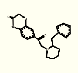 O=C1COc2cc(C(=O)CN3CCCCC3Cc3ccccc3)ccc2N1